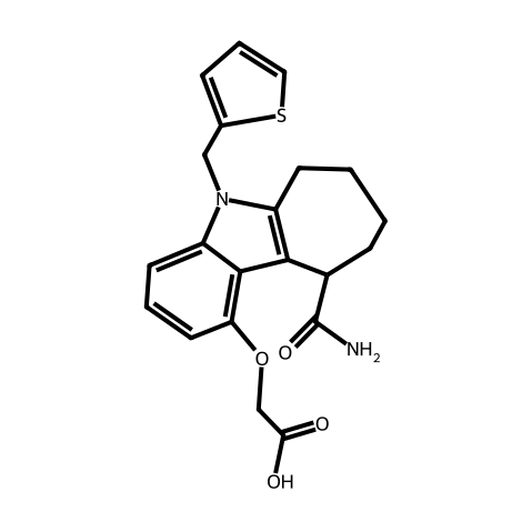 NC(=O)C1CCCCc2c1c1c(OCC(=O)O)cccc1n2Cc1cccs1